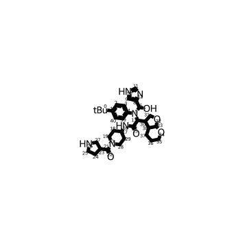 CC(C)(C)c1ccc(N(C(O)c2c[nH]cn2)C(C(=O)NC2CCN(C(=O)C3CCNC3)CC2)C2COC3OCCCC32)cc1